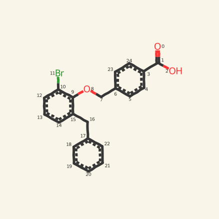 O=C(O)c1ccc(COc2c(Br)cccc2Cc2ccccc2)cc1